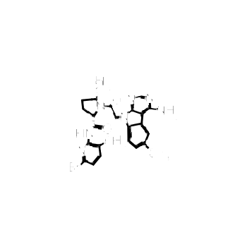 Cc1ccc(Br)nc1NC(=O)[C@@H]1CC[C@@H](C)N1C(=O)Cn1c2ccc(C(F)(F)F)cc2c2c(N)ncnc21